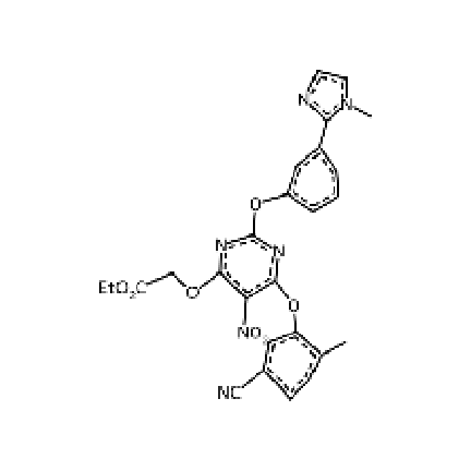 CCOC(=O)COc1nc(Oc2cccc(-c3nccn3C)c2)nc(Oc2cc(C#N)ccc2C)c1[N+](=O)[O-]